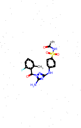 CCCC(=O)NS(=O)(=O)c1ccc(Nc2nc(N)n(C(=O)c3c(C)cccc3F)n2)cc1